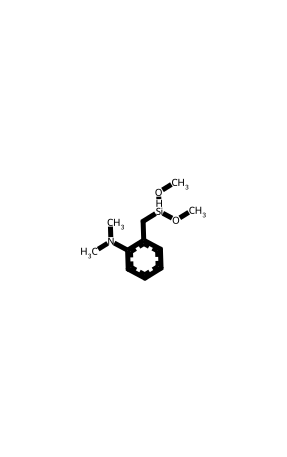 CO[SiH](Cc1ccccc1N(C)C)OC